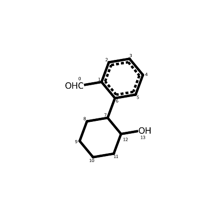 O=Cc1ccccc1C1CCCCC1O